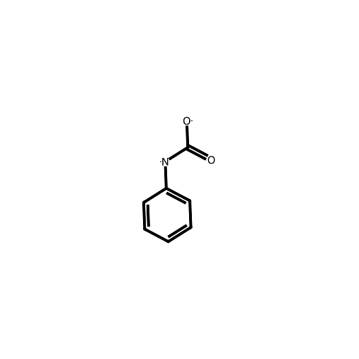 [O]C(=O)[N]c1ccccc1